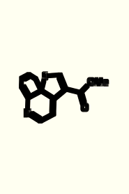 COC(=O)C1=CSC23CC=CC=C2N=CC=C13